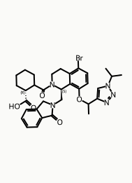 CC(Oc1ccc(Br)c2c1[C@@H](CN1Cc3ccccc3C1=O)N(C(=O)C1CCCC[C@H]1C(=O)O)CC2)c1cn(C(C)C)nn1